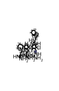 N=C(N)N/N=C/c1c(Cl)cccc1Cl.N=C(N)NC(=O)Cc1c(Cl)cccc1Cl.N=C(N)NCC1COC2(CCCCC2)O1.N=C(N)NCCN1CCCCCCC1